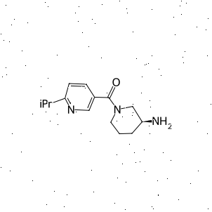 CC(C)c1ccc(C(=O)N2CCC[C@H](N)C2)cn1